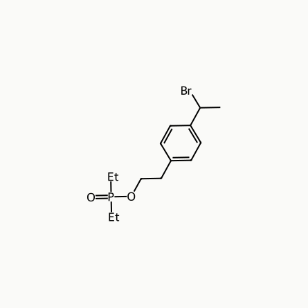 CCP(=O)(CC)OCCc1ccc(C(C)Br)cc1